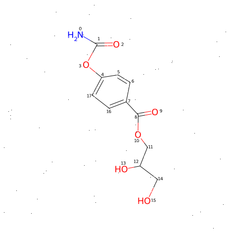 NC(=O)Oc1ccc(C(=O)OCC(O)CO)cc1